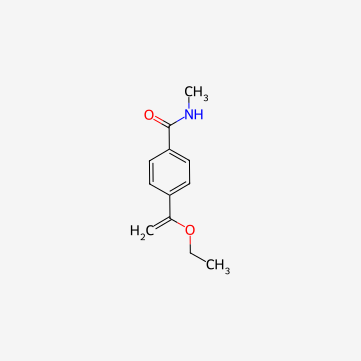 C=C(OCC)c1ccc(C(=O)NC)cc1